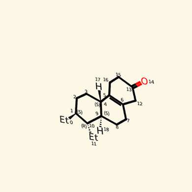 CC[C@H]1CC[C@@H]2C3=C(CC[C@H]2[C@@H]1CC)CC(=O)CC3